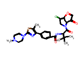 COC(C)(C)C(NC(=O)c1ccc(-c2nc(N3CCN(C)CC3)sc2C)cc1)C(=O)N1CC(Cl)C2OCC(=O)C21